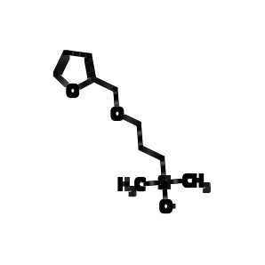 C[Si](C)([O])CCCOCc1ccco1